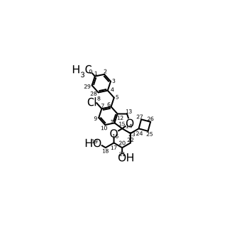 Cc1ccc(Cc2c(Cl)ccc3c2COC32OC(CO)C(O)CC2C2CCC2)cc1